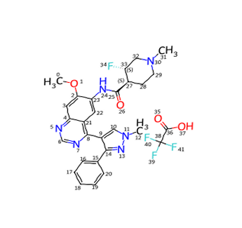 COc1cc2ncnc(-c3cn(C)nc3-c3ccccc3)c2cc1NC(=O)[C@@H]1CCN(C)C[C@H]1F.O=C(O)C(F)(F)F